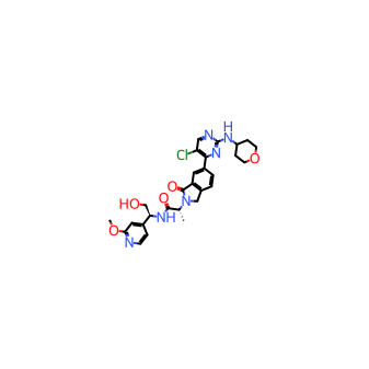 COc1cc([C@@H](CO)NC(=O)[C@@H](C)N2Cc3ccc(-c4nc(NC5CCOCC5)ncc4Cl)cc3C2=O)ccn1